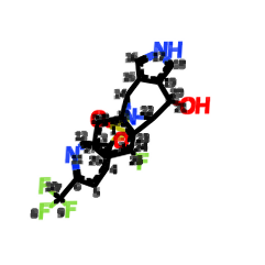 O=S(=O)(c1ccc(C(F)(F)F)nc1)N1C2c3c[nH]cc3[C@@H](O)C1c1c(F)cccc12